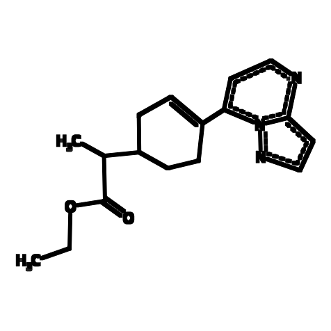 CCOC(=O)C(C)C1CC=C(c2ccnc3ccnn23)CC1